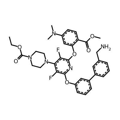 CCOC(=O)N1CCN(c2c(F)c(Oc3cccc(-c4cccc(CN)c4)c3)nc(Oc3cc(N(C)C)ccc3C(=O)OC)c2F)CC1